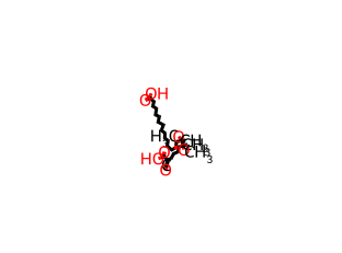 COC(C)(CCCCCCCCCCCCCCCC(=O)O)C(C)(CCCCC(=C=O)C(=O)O)OC